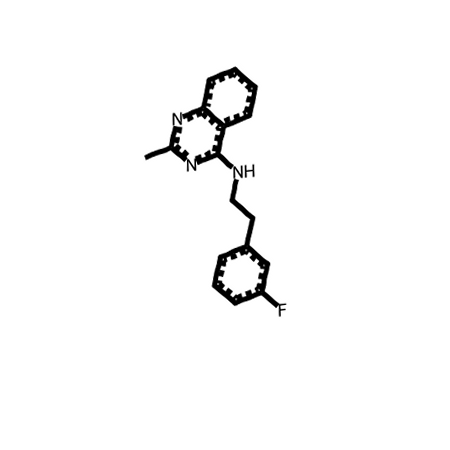 Cc1nc(NCCc2cccc(F)c2)c2ccccc2n1